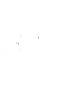 OC(CN1CCC(CN2c3ccccc3Sc3ccc(Cl)cc32)CC1)C12CC3CC(CC(C3)C1)C2